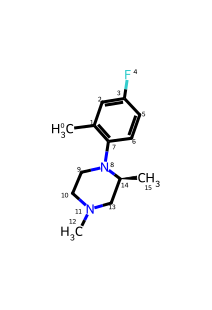 Cc1cc(F)ccc1N1CCN(C)C[C@@H]1C